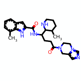 Cc1cccc2cc(C(=O)NC(CCC(=O)N3CCn4cncc4C3)C3NCCCC3C)[nH]c12